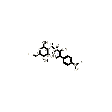 CCCN(CCC)c1ccc(/C(C)=C(\C#N)S(=O)(=O)N[C@H]2C(O)O[C@H](CO)[C@@H](O)[C@@H]2O)cc1